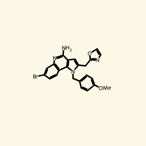 COc1ccc(Cn2c(Cc3ncco3)cc3c(N)nc4cc(Br)ccc4c32)cc1